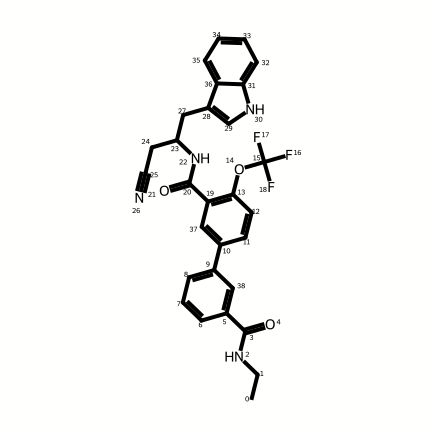 CCNC(=O)c1cccc(-c2ccc(OC(F)(F)F)c(C(=O)NC(CC#N)Cc3c[nH]c4ccccc34)c2)c1